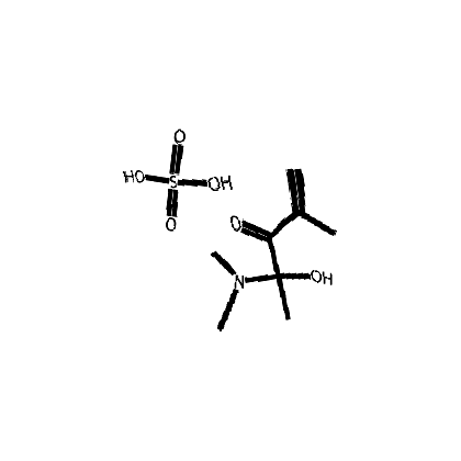 C=C(C)C(=O)C(C)(O)N(C)C.O=S(=O)(O)O